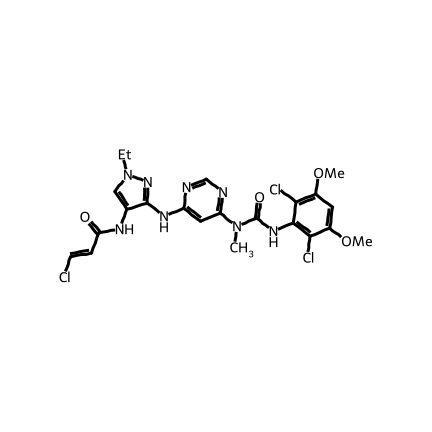 CCn1cc(NC(=O)C=CCl)c(Nc2cc(N(C)C(=O)Nc3c(Cl)c(OC)cc(OC)c3Cl)ncn2)n1